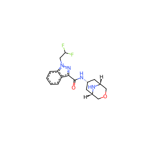 O=C(N[C@H]1C[C@H]2COC[C@@H](C1)N2)c1nn(CC(F)F)c2ccccc12